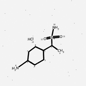 CC(C1CCC(N)CC1)S(N)(=O)=O.Cl